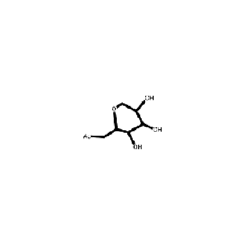 CC(=O)CC1OCC(O)C(O)C1O